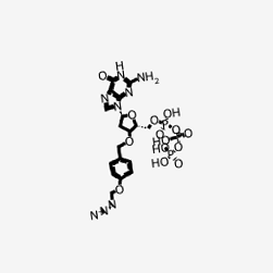 [N-]=[N+]=NCOc1ccc(COC2C[C@H](n3cnc4c(=O)[nH]c(N)nc43)O[C@@H]2COP(=O)(O)OP(=O)(O)OP(=O)(O)O)cc1